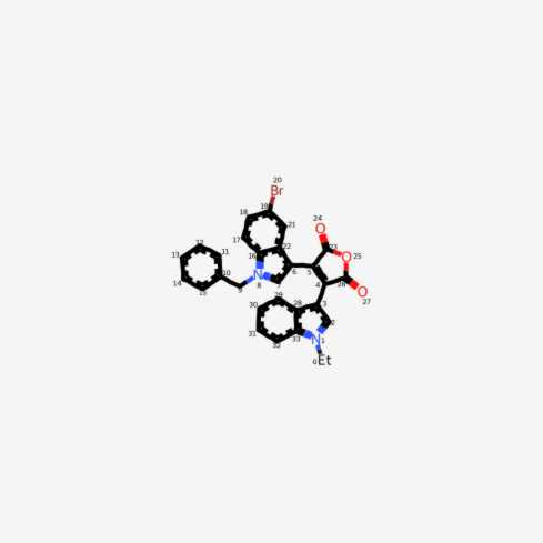 CCn1cc(C2=C(c3cn(Cc4ccccc4)c4ccc(Br)cc34)C(=O)OC2=O)c2ccccc21